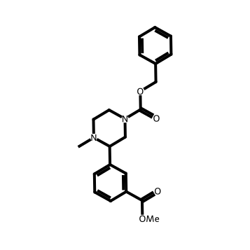 COC(=O)c1cccc(C2CN(C(=O)OCc3ccccc3)CCN2C)c1